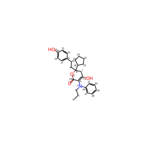 CCCN(C1=C(O)CC(CCc2ccc(O)cc2)(C2CCCC2)OC1=O)c1ccccc1